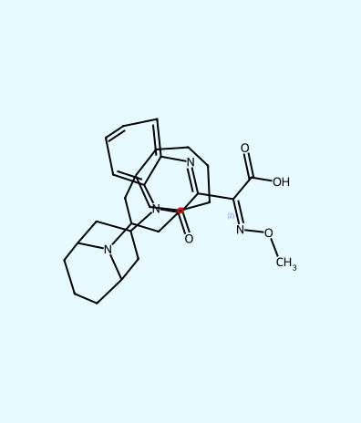 CO/N=C(\C(=O)O)c1nc2ccccc2n(C2CC3CCCC(C2)N3C2CC3CCCCC(C3)C2)c1=O